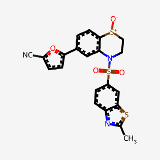 Cc1nc2ccc(S(=O)(=O)N3CC[S+]([O-])c4ccc(-c5ccc(C#N)o5)cc43)cc2s1